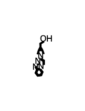 OCCC1C2CN(c3ccn4c(n3)nc3ccccc34)CC12